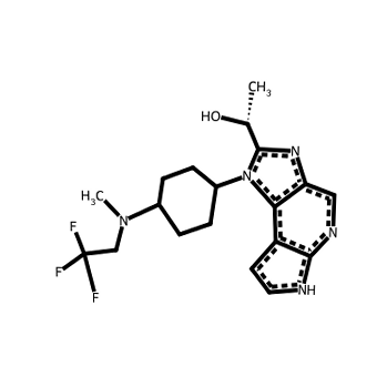 C[C@@H](O)c1nc2cnc3[nH]ccc3c2n1C1CCC(N(C)CC(F)(F)F)CC1